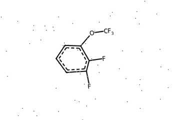 Fc1cc[c]c(OC(F)(F)F)c1F